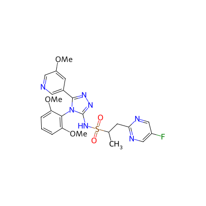 COc1cncc(-c2nnc(NS(=O)(=O)C(C)Cc3ncc(F)cn3)n2-c2c(OC)cccc2OC)c1